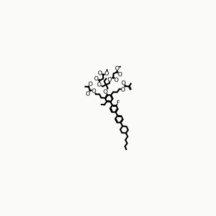 C=C(C)C(=O)OCCCc1cc(-c2ccc(-c3ccc(C4CCC(CCCCC)CC4)cc3)cc2F)c(CC)c(CCCOC(=O)C(C)=O)c1OCC(CC)(COC(=O)CC(=O)OC)COC(=O)CC(=O)OC